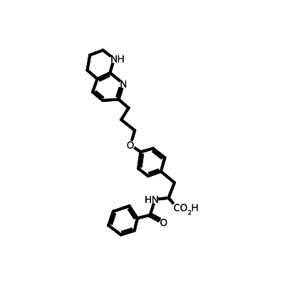 O=C(NC(Cc1ccc(OCCCc2ccc3c(n2)NCCC3)cc1)C(=O)O)c1ccccc1